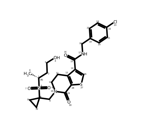 C[C@H](CCO)S(=O)(=O)C1(CN2CCc3c(C(=O)NCc4ccc(Cl)cc4)csc3C2=O)CC1